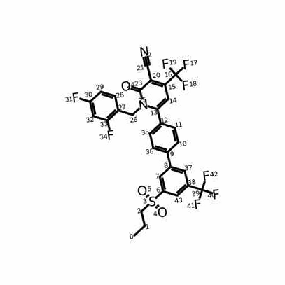 CCCS(=O)(=O)c1cc(-c2ccc(-c3cc(C(F)(F)F)c(C#N)c(=O)n3Cc3ccc(F)cc3F)cc2)cc(C(F)(F)F)c1